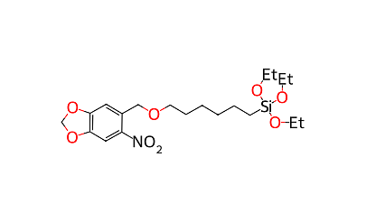 CCO[Si](CCCCCCOCc1cc2c(cc1[N+](=O)[O-])OCO2)(OCC)OCC